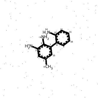 Cc1cc(N)c(N)c(-c2ccccc2N)c1